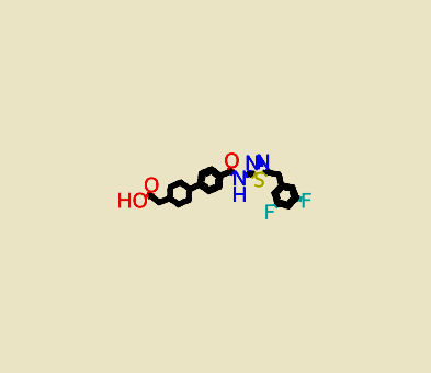 O=C(O)CC1CCC(c2ccc(C(=O)Nc3nnc(Cc4cc(F)cc(F)c4)s3)cc2)CC1